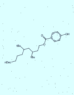 CCCCCCCCCCCCCC(CC(CCOC(=O)c1ccc(O)cc1)C(C)(C)C)C(C)(C)C